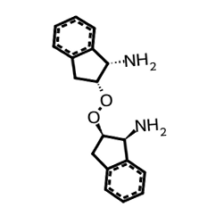 N[C@H]1c2ccccc2C[C@H]1OO[C@@H]1Cc2ccccc2[C@@H]1N